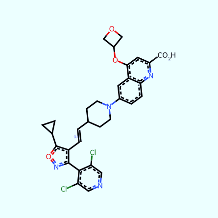 O=C(O)c1cc(OC2COC2)c2cc(N3CCC(/C=C/c4c(-c5c(Cl)cncc5Cl)noc4C4CC4)CC3)ccc2n1